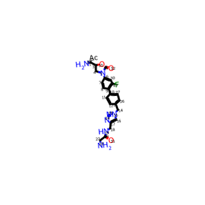 CC(=O)[C@@H](N)C1CN(c2ccc(-c3ccc(Cn4cc(CNC(=O)CN)nn4)cc3)c(F)c2)C(=O)O1